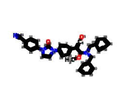 COC(C(=C=O)c1ccc(-n2ccn(-c3ccc(C#N)cc3)c2=O)cc1)N(Cc1ccccc1)Cc1ccccc1